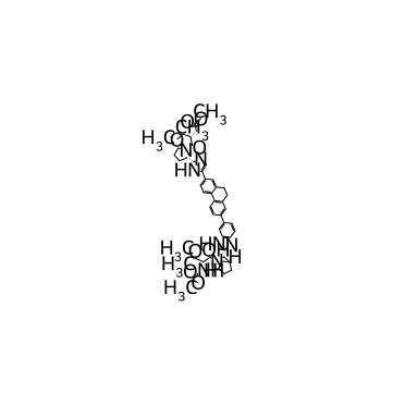 COC(=O)C[C@H](C(=O)N1CCC[C@H]1c1ncc(-c2ccc3c(c2)CCc2cc(-c4ccc5nc([C@@H]6[C@H]7CC[C@H](C7)N6C(O)[C@@H](NC(=O)OC)[C@@H](C)OC)[nH]c5c4)ccc2-3)[nH]1)[C@@H](C)OC